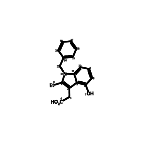 CCc1c(CC(=O)O)c2c(O)cccc2n1Cc1ccccc1